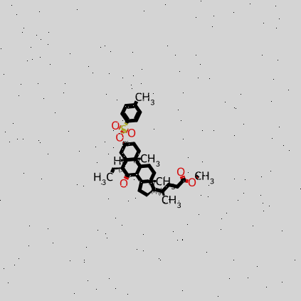 CC[C@@H]1C(=O)C2C3CC[C@H]([C@H](C)CCC(=O)OC)[C@@]3(C)CCC2[C@@]2(C)CC[C@@H](OS(=O)(=O)c3ccc(C)cc3)C[C@@H]12